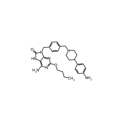 CCCCOc1nc(N)c2[nH]c(=O)n(Cc3ccc(CN4CCC(c5ccc(N)cc5)CC4)cc3)c2n1